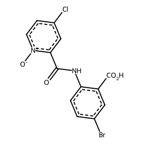 O=C(O)c1cc(Br)ccc1NC(=O)c1cc(Cl)cc[n+]1[O-]